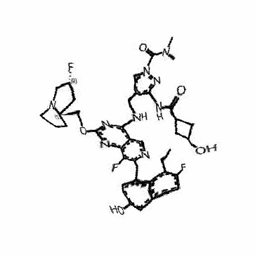 CCc1c(F)ccc2cc(O)cc(-c3ncc4c(NCc5cn(C(=O)N(C)C)nc5NC(=O)C5CC(O)C5)nc(OC[C@@]56CCCN5C[C@H](F)C6)nc4c3F)c12